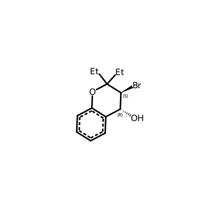 CCC1(CC)Oc2ccccc2[C@@H](O)[C@@H]1Br